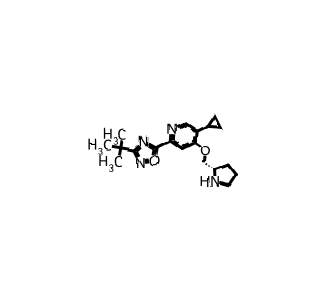 CC(C)(C)c1noc(-c2cc(OC[C@@H]3CCCN3)c(C3CC3)cn2)n1